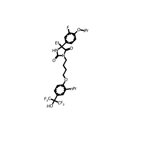 CCCc1cc(C(O)(C(F)(F)F)C(F)(F)F)ccc1OCCCCN1C(=O)NC(CC)(c2ccc(OC(C)C)c(F)c2)C1=O